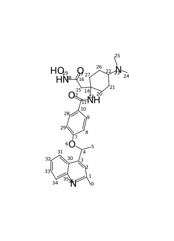 Cc1cc(C(C)Oc2ccc(C(=O)NC3(CC(=O)NO)CCC(N(C)C)CC3)cc2)c2ccccc2n1